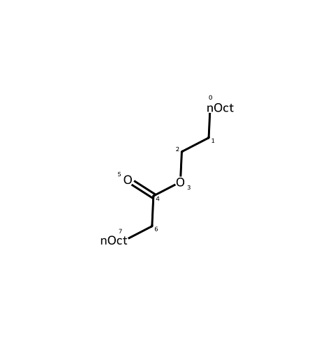 CCCCCCCCCCOC(=O)CCCCCCCCC